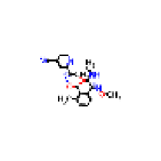 CNC(=O)/C(=N/OC)c1cccc(C)c1CO/N=C(\C)c1cc(C#N)ccn1